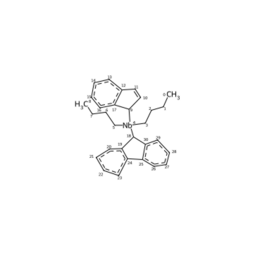 CCC[CH2][Nb]([CH2]CCC)([CH]1C=Cc2ccccc21)[CH]1c2ccccc2-c2ccccc21